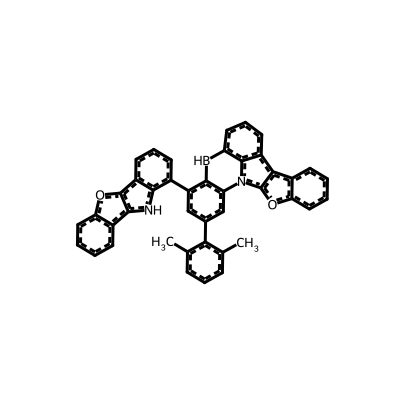 Cc1cccc(C)c1-c1cc(-c2cccc3c2[nH]c2c4ccccc4oc32)c2c(c1)-n1c3oc4ccccc4c3c3cccc(c31)B2